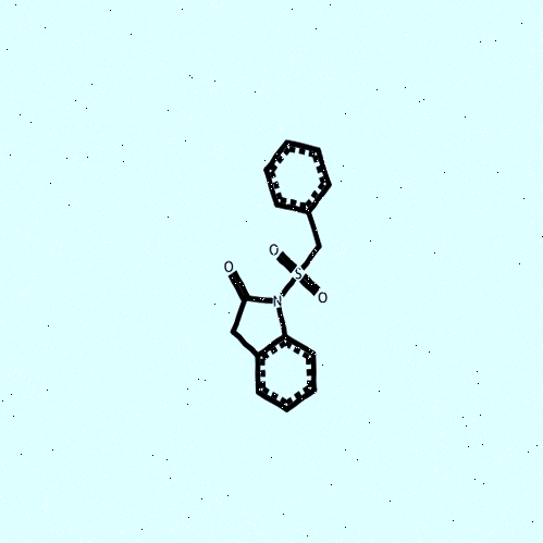 O=C1Cc2ccccc2N1S(=O)(=O)Cc1ccccc1